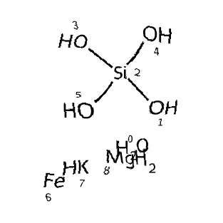 O.O[Si](O)(O)O.[Fe].[KH].[MgH2]